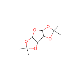 CC1(C)OC2OC3OC(C)(C)OC3C2O1